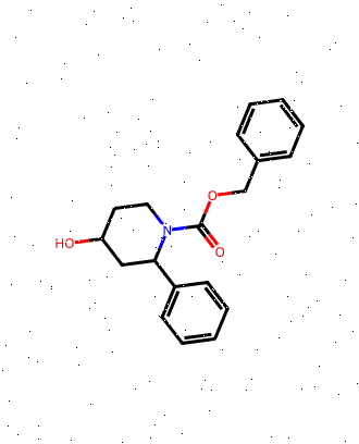 O=C(OCc1ccccc1)N1CCC(O)CC1c1ccccc1